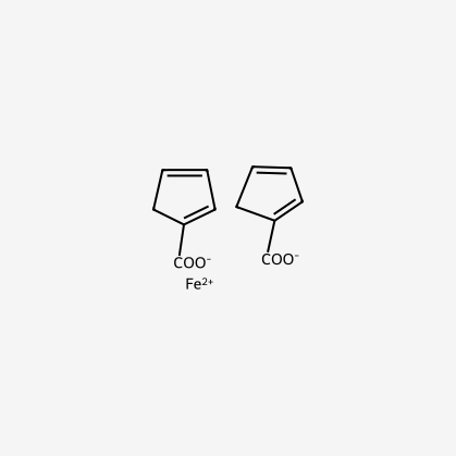 O=C([O-])C1=CC=CC1.O=C([O-])C1=CC=CC1.[Fe+2]